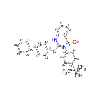 O=c1c2ccccc2nc(Cc2ccc(-c3ccccc3)cc2)n1-c1ccc(C(O)(C(F)(F)F)C(F)(F)F)cc1